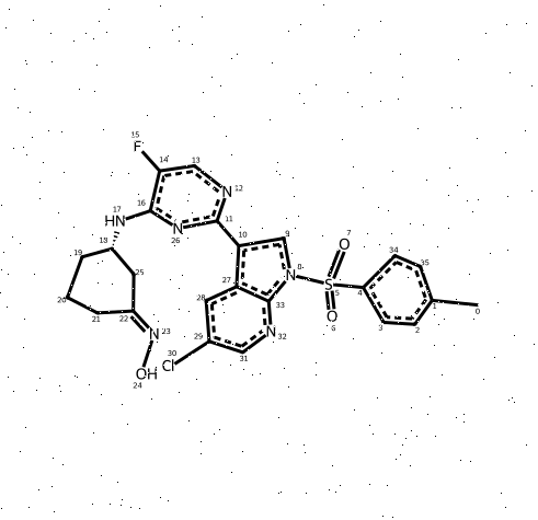 Cc1ccc(S(=O)(=O)n2cc(-c3ncc(F)c(N[C@H]4CCCC(=NO)C4)n3)c3cc(Cl)cnc32)cc1